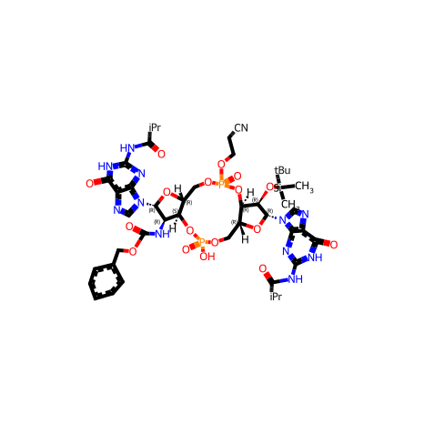 CC(C)C(=O)Nc1nc2c(ncn2[C@@H]2O[C@@H]3COP(=O)(OCCC#N)O[C@H]4[C@@H](O[Si](C)(C)C(C)(C)C)[C@H](n5cnc6c(=O)[nH]c(NC(=O)C(C)C)nc65)O[C@@H]4COP(=O)(O)O[C@H]3[C@H]2NC(=O)OCc2ccccc2)c(=O)[nH]1